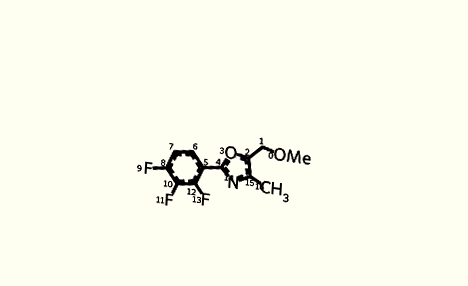 COCc1oc(-c2ccc(F)c(F)c2F)nc1C